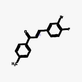 Cc1ccc(C(=O)/C=C/c2ccc(F)c(Br)c2)cc1